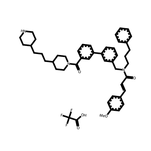 COc1ccc(C=CC(=O)N(CCCc2ccccc2)Cc2cccc(-c3cccc(C(=O)N4CCC(CCCC5CCNCC5)CC4)c3)c2)cc1.O=C(O)C(F)(F)F